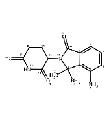 BC1(B)c2c(N)cccc2C(=O)N1C1CCC(=O)NC1=O